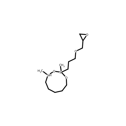 C[SiH]1CCCCCO[Si](C)(CCCOCC2CO2)O1